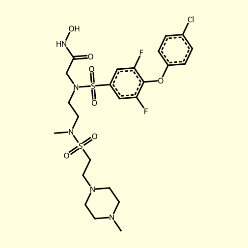 CN1CCN(CCS(=O)(=O)N(C)CCN(CC(=O)NO)S(=O)(=O)c2cc(F)c(Oc3ccc(Cl)cc3)c(F)c2)CC1